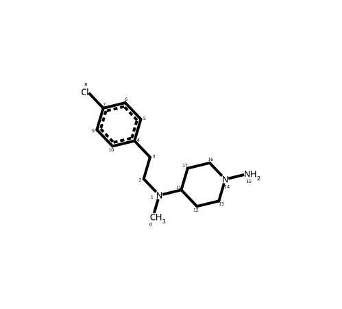 CN(CCc1ccc(Cl)cc1)C1CCN(N)CC1